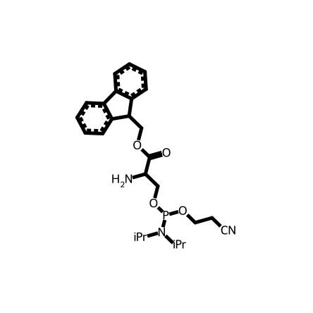 CC(C)N(C(C)C)P(OCCC#N)OCC(N)C(=O)OCC1c2ccccc2-c2ccccc21